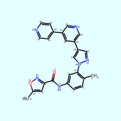 Cc1ccc(NC(=O)c2cc(C(C)(C)C)on2)cc1-n1cc(-c2cncc(-c3ccncc3)c2)cn1